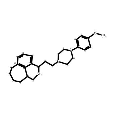 COc1ccc(N2CCN(CCC3OCC4CCCCc5cccc3c54)CC2)cc1